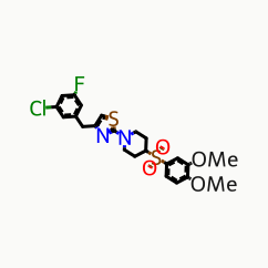 COc1ccc(S(=O)(=O)C2CCN(c3nc(Cc4cc(F)cc(Cl)c4)cs3)CC2)cc1OC